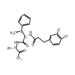 CC(C)[C@H](NC(=O)[C@@H](NC(=O)CCc1ccc(Cl)c(Cl)c1)[C@@H](C)c1ccccc1)C(=O)C(F)(F)F